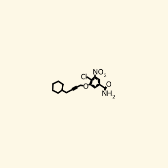 NC(=O)c1cc(OCC#CCC2CCCCC2)c(Cl)c([N+](=O)[O-])c1